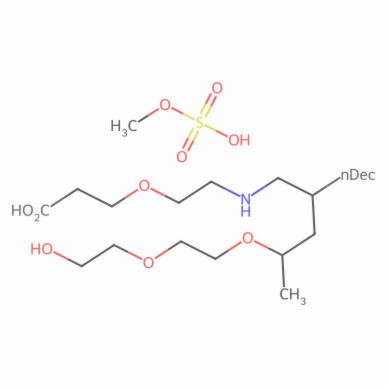 CCCCCCCCCCC(CNCCOCCC(=O)O)CC(C)OCCOCCO.COS(=O)(=O)O